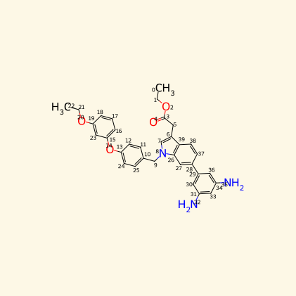 CCOC(=O)Cc1cn(Cc2ccc(Oc3cccc(OCC)c3)cc2)c2cc(-c3cc(N)cc(N)c3)ccc12